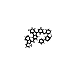 Cc1ccc(-c2ccccc2)cc1-c1ccccc1Cc1cccc(C2c3ccccc3-c3cc(CC4c5ccccc5-c5cccnc54)ccc32)c1